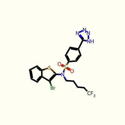 O=S(=O)(c1ccc(-c2nnn[nH]2)cc1)N(CCCCC(F)(F)F)c1sc2ccccc2c1Br